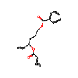 C=CC(=O)OC(CCCCCCC)CCCOC(=O)c1ccccc1